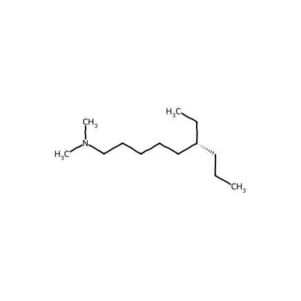 CCC[C@@H](CC)CCCCCN(C)C